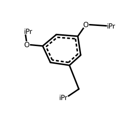 CC(C)Cc1cc(OC(C)C)cc(OC(C)C)c1